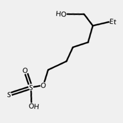 CCC(CO)CCCCOS(=O)(O)=S